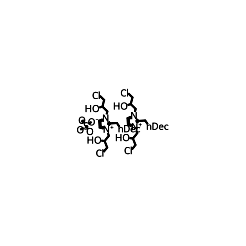 CCCCCCCCCCCc1n(CC(O)CCl)cc[n+]1CC(O)CCl.CCCCCCCCCCCc1n(CC(O)CCl)cc[n+]1CC(O)CCl.O=S(=O)([O-])[O-]